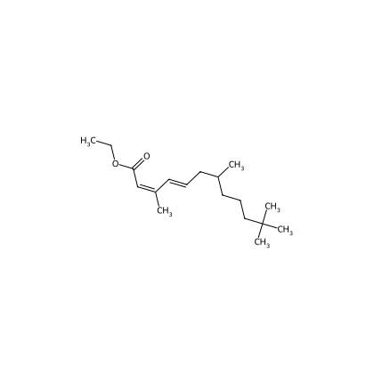 CCOC(=O)C=C(C)C=CCC(C)CCCC(C)(C)C